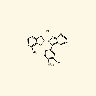 COc1ccc(-c2c3cncnc3nn2C2Cc3cccc(N)c3C2)cc1O.Cl